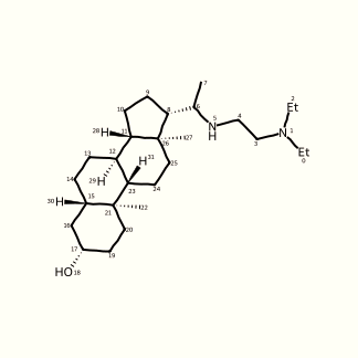 CCN(CC)CCNC(C)[C@H]1CC[C@H]2[C@@H]3CC[C@H]4C[C@@H](O)CC[C@]4(C)[C@H]3CC[C@]12C